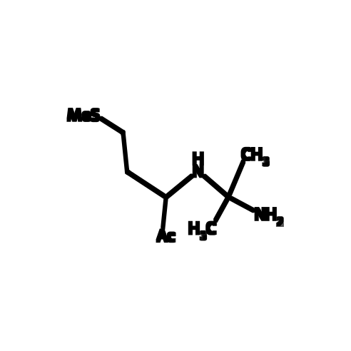 CSCCC(NC(C)(C)N)C(C)=O